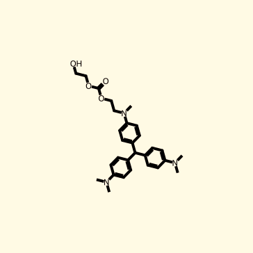 CN(C)c1ccc(C(c2ccc(N(C)C)cc2)c2ccc(N(C)CCOC(=O)OCCO)cc2)cc1